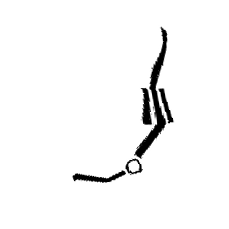 CC#COC